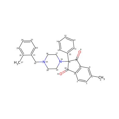 Cc1ccc2c(c1)C(=O)C(c1ccccc1)(N1CCN(Cc3ccccc3C)CC1)C2=O